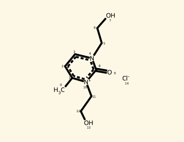 Cc1ccn(CCO)c(=O)[n+]1CCO.[Cl-]